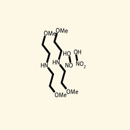 COCCNCCOC.COCCNCCOC.O=NO.O=[N+]([O-])O